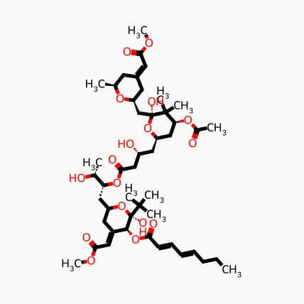 CCC/C=C/C=C/C(=O)O[C@H]1/C(=C/C(=O)OC)CC(C[C@@H](OC(=O)C[C@H](O)C[C@@H]2C[C@H](OC(C)=O)C(C)(C)[C@](O)(C[C@@H]3C/C(=C/C(=O)OC)C[C@H](C)O3)O2)[C@@H](C)O)O[C@@]1(O)C(C)(C)C